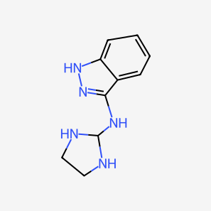 c1ccc2c(NC3NCCN3)n[nH]c2c1